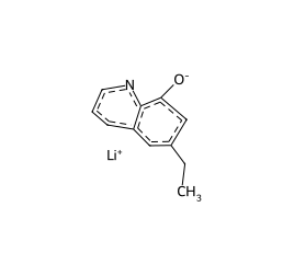 CCc1cc([O-])c2ncccc2c1.[Li+]